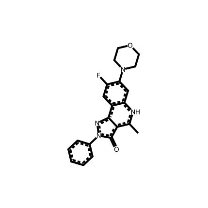 Cc1[nH]c2cc(N3CCOCC3)c(F)cc2c2nn(-c3ccccc3)c(=O)c1-2